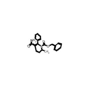 CC1CCC(C(N)=O)C(c2ccccc2)N1C(=O)OCc1ccccc1